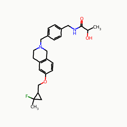 CC(O)C(=O)NCc1ccc(CN2CCc3cc(OCC4CC4(C)F)ccc3C2)cc1